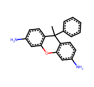 CC1(c2ccccc2)c2ccc(N)cc2Oc2cc(N)ccc21